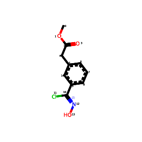 COC(=O)Cc1cccc(/C(Cl)=N/O)c1